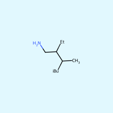 CCC(C)C(C)C(CC)CN